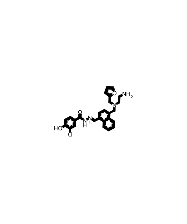 NCCN(Cc1ccco1)Cc1ccc(/C=N/NC(=O)c2ccc(O)c(Cl)c2)c2ccccc12